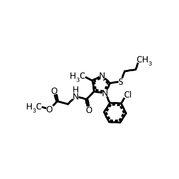 CCCSc1nc(C)c(C(=O)NCC(=O)OC)n1-c1ccccc1Cl